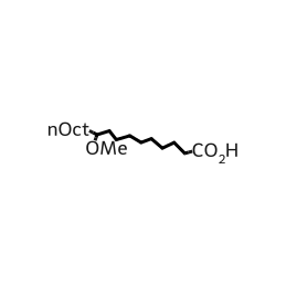 CCCCCCCCC(CCCCCCCCC(=O)O)OC